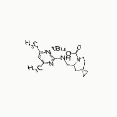 Cc1cc(C)nc(NCC2CC3(CCN2C(=O)OC(C)(C)C)CC3)n1